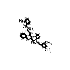 Cc1cc(C)cc(CSc2nnc(C(CCCCNC(=O)c3ccccc3O)Cc3ccccc3)n2-c2ccccc2)c1